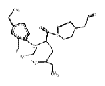 CCc1ccc([C@H](CC)C(CC(C)CC)C(=O)N2CCN(CC=O)CC2)c(F)c1